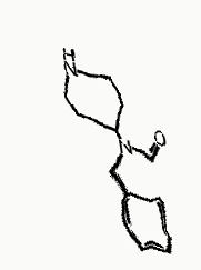 O=CN(Cc1ccccc1)C1CCNCC1